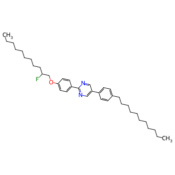 CCCCCCCCCCCc1ccc(-c2cnc(-c3ccc(OCC(F)CCCCCCCCC)cc3)nc2)cc1